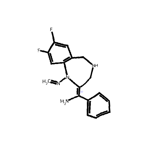 C=NN1/C(=C(\N)c2ccccc2)CNCc2cc(F)c(F)cc21